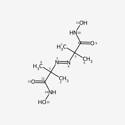 CC(C)(N=NC(C)(C)C(=O)NO)C(=O)NO